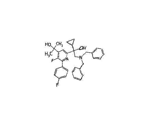 CC(C)(O)c1cc(C(O)(CN(Cc2ccccc2)Cc2ccccc2)C2CC2)nc(-c2ccc(F)cc2)c1F